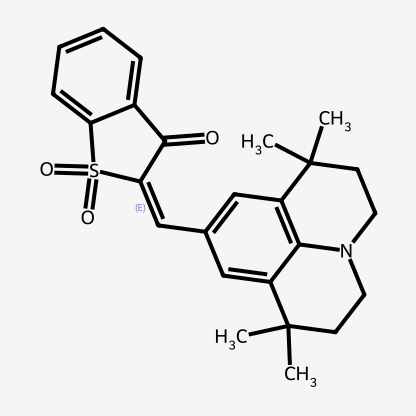 CC1(C)CCN2CCC(C)(C)c3cc(/C=C4\C(=O)c5ccccc5S4(=O)=O)cc1c32